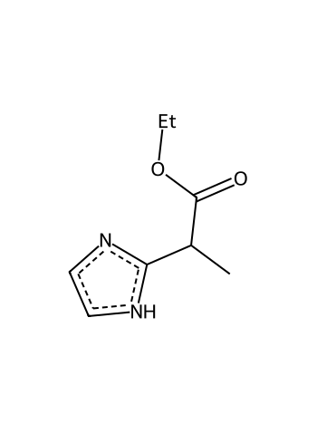 CCOC(=O)C(C)c1ncc[nH]1